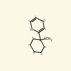 CC1(C2=C[N]C=CO2)CCCCC1